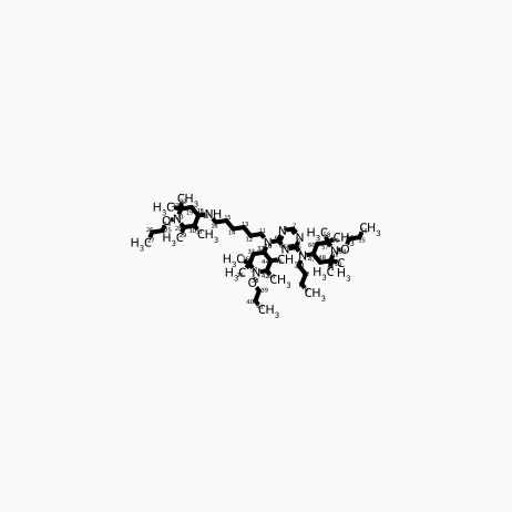 CCCCN(c1ncnc(N(CCCCCCNC2CC(C)(C)N(OCCC)C(C)C2C)C2CC(C)(C)N(OCCC)C(C)C2C)n1)C1CC(C)(C)N(OCCC)C(C)(C)C1